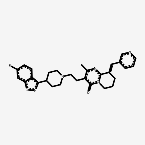 Cc1nc2n(c(=O)c1CCN1CCC(c3noc4cc(F)ccc34)CC1)CCCC2=Cc1cccnc1